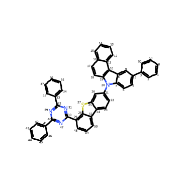 c1ccc(-c2ccc3c(c2)c2c4ccccc4ccc2n3-c2ccc3c(c2)sc2c(-c4nc(-c5ccccc5)nc(-c5ccccc5)n4)cccc23)cc1